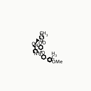 COc1ccc([C@H]2CC[C@H](CN(c3cc(-c4coc(C5CC5)n4)ccn3)C(=O)[C@H]3CC[C@H](OC(=O)N4CCN(C)CC4)CC3)CC2)cc1C